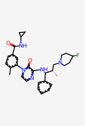 Cc1ccc(C(=O)NC2CC2)cc1-n1ccnc(N[C@@H](c2ccccc2)[C@@H](C)CN2CCC(F)CC2)c1=O